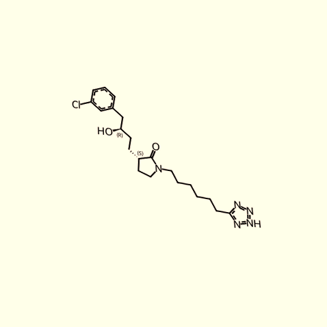 O=C1[C@@H](CC[C@@H](O)Cc2cccc(Cl)c2)CCN1CCCCCCc1nn[nH]n1